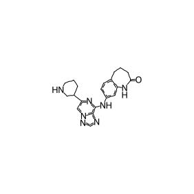 O=C1CCCc2ccc(Nc3nc(C4CCCNC4)cn4ncnc34)cc2N1